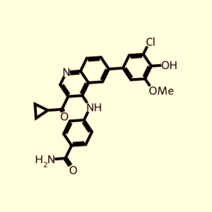 COc1cc(-c2ccc3ncc(C(=O)C4CC4)c(Nc4ccc(C(N)=O)cc4)c3c2)cc(Cl)c1O